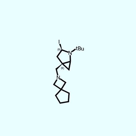 CC(C)(C)N1C2C[C@]2(CN2CC3(CCCC3)C2)C[C@H]1I